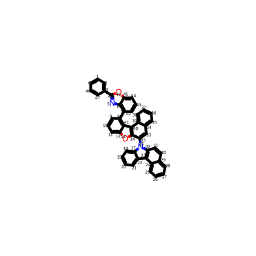 c1ccc(-c2nc3c(-c4cccc5oc6c(-n7c8ccccc8c8c9ccccc9ccc87)cc7ccccc7c6c45)cccc3o2)cc1